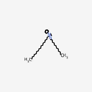 CCCCCCCCCCCCCCCCCC1N(CCCCCCCCCCCC)C=CN1c1ccccc1